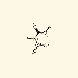 COC(=O)N(C)[S+]([O-])Cl